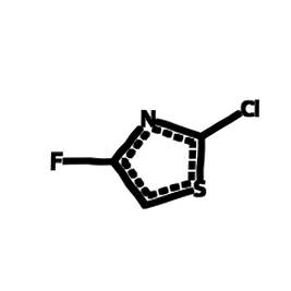 Fc1csc(Cl)n1